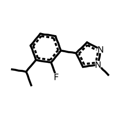 CC(C)c1cccc(-c2cnn(C)c2)c1F